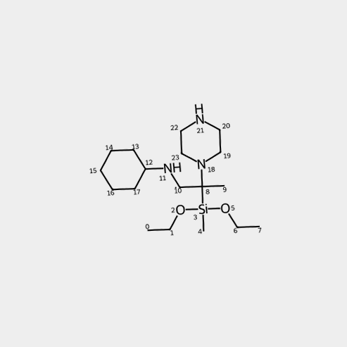 CCO[Si](C)(OCC)C(C)([CH]NC1CCCCC1)N1CCNCC1